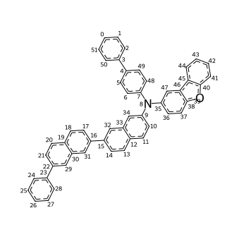 c1ccc(-c2ccc(N(c3ccc4ccc(-c5ccc6ccc(-c7ccccc7)cc6c5)cc4c3)c3ccc4oc5ccccc5c4c3)cc2)cc1